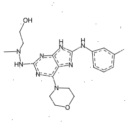 Cc1cccc(Nc2nc3c(N4CCOCC4)nc(NN(C)CCO)nc3[nH]2)c1